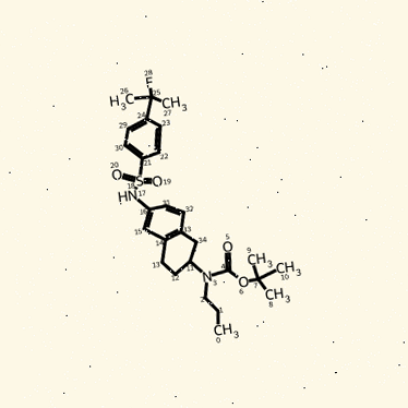 CCCN(C(=O)OC(C)(C)C)C1CCc2cc(NS(=O)(=O)c3ccc(C(C)(C)F)cc3)ccc2C1